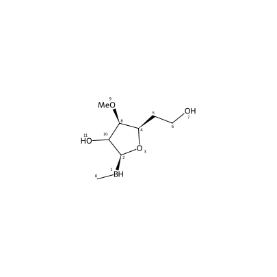 CB[C@@H]1O[C@H](CCO)[C@H](OC)C1O